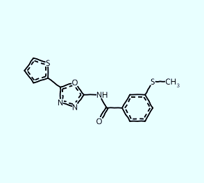 CSc1cccc(C(=O)Nc2nnc(-c3cccs3)o2)c1